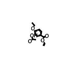 C=COC(=O)c1ccc(OCC)cc1.CC(=O)O